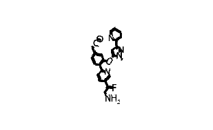 Cn1nc(-c2ccccn2)cc1Oc1cc(C=C=O)ccc1-c1ccc(C(F)CN)cn1